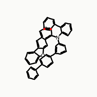 c1ccc(-c2ccc(-c3cccc(N(c4ccccc4-c4ccccc4)c4cncc5cc6c(cc45)oc4ccccc46)c3)cc2)cc1